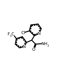 NC(=O)C(c1cc(C(F)(F)F)ccn1)c1ncccc1Cl